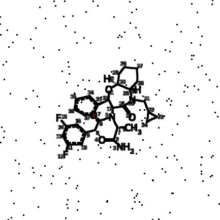 C[C@@H](C(N)=O)N(C(=O)Cc1cc(F)cc(F)c1)[C@@H]1C(=O)N(CC2CC2)[C@H]2CCCC[C@@H]2O[C@@H]1c1ccccc1